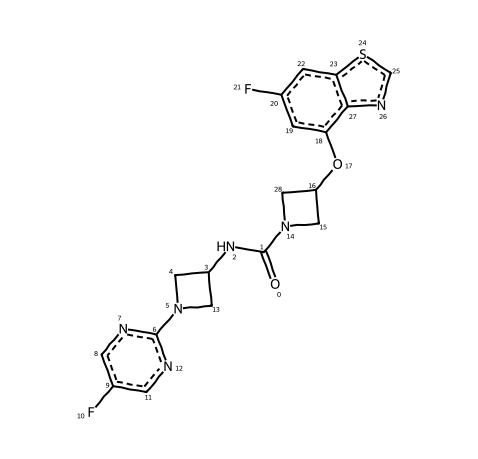 O=C(NC1CN(c2ncc(F)cn2)C1)N1CC(Oc2cc(F)cc3scnc23)C1